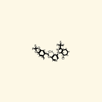 C[C@H](Oc1cncc(-n2nc(C(F)(F)F)c3c2[C@@H](Cl)CCC3)c1)c1cc2c(cc1F)OC(F)(F)O2